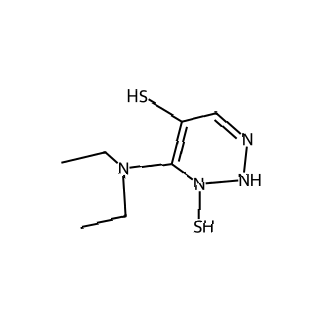 CCN(CC)C1=C(S)C=NNN1S